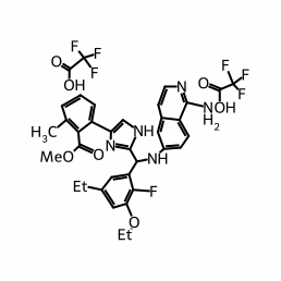 CCOc1cc(CC)cc(C(Nc2ccc3c(N)nccc3c2)c2nc(-c3cccc(C)c3C(=O)OC)c[nH]2)c1F.O=C(O)C(F)(F)F.O=C(O)C(F)(F)F